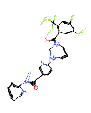 O=C(Nc1ccccn1)c1ccc(N2C=CCN(C(=O)c3cc(F)c(F)cc3C(F)(F)F)C2)nc1